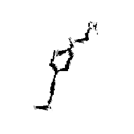 CCOc1ccc(C#CSI)cn1